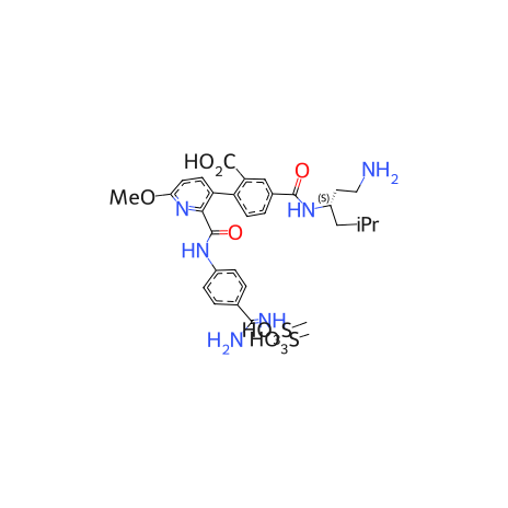 COc1ccc(-c2ccc(C(=O)N[C@H](CCN)CC(C)C)cc2C(=O)O)c(C(=O)Nc2ccc(C(=N)N)cc2)n1.CS(=O)(=O)O.CS(=O)(=O)O